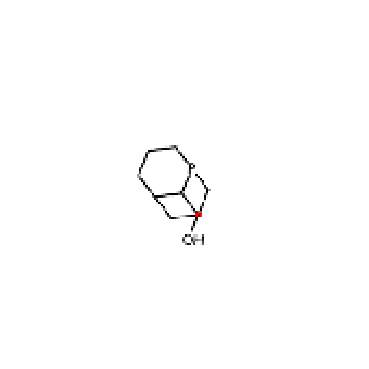 OCC1C2CCCP1CCC2